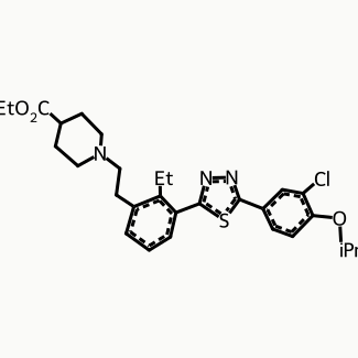 CCOC(=O)C1CCN(CCc2cccc(-c3nnc(-c4ccc(OC(C)C)c(Cl)c4)s3)c2CC)CC1